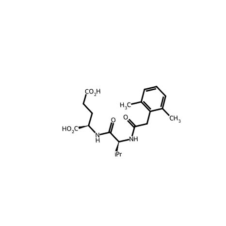 Cc1cccc(C)c1CC(=O)N[C@H](C(=O)N[C@H](CCC(=O)O)C(=O)O)C(C)C